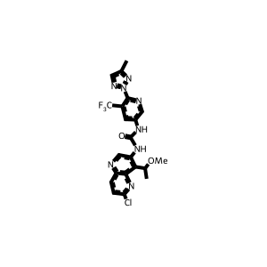 COC(C)c1c(NC(=O)Nc2cnc(-n3ncc(C)n3)c(C(F)(F)F)c2)cnc2ccc(Cl)nc12